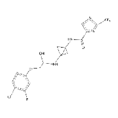 O=C(NC12CC(NC(O)COc3ccc(Cl)c(F)c3)(C1)C2)c1csc(C(F)(F)F)n1